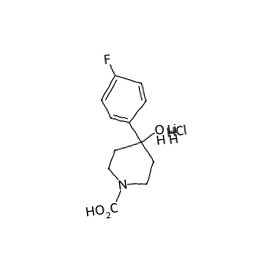 Cl.O=C(O)N1CCC(O)(c2ccc(F)cc2)CC1.[LiH]